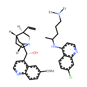 C=C[C@H]1C[N@]2CC[C@H]1C[C@H]2[C@H](O)c1ccnc2ccc(OC)cc12.CCN(CC)CCCC(C)Nc1ccnc2cc(Cl)ccc12